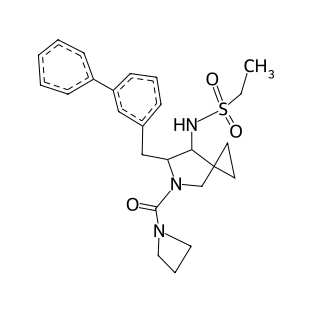 CCS(=O)(=O)NC1C(Cc2cccc(-c3ccccc3)c2)N(C(=O)N2CCC2)CC12CC2